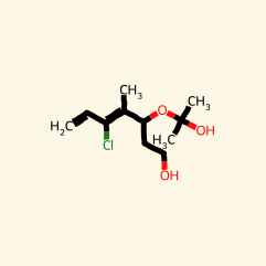 C=C/C(Cl)=C(\C)C(CCO)OC(C)(C)O